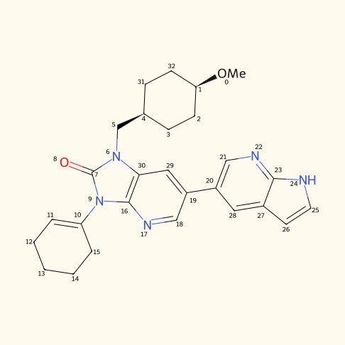 CO[C@H]1CC[C@@H](Cn2c(=O)n(C3=CCCCC3)c3ncc(-c4cnc5[nH]ccc5c4)cc32)CC1